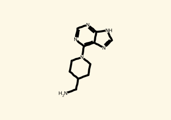 NCC1CCN(c2ncnc3[nH]cnc23)CC1